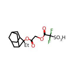 CCC1(OC(=O)COC(=O)C(F)(F)S(=O)(=O)O)C2CC3CC(C2)CC1C3